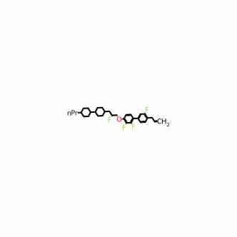 C=CCc1ccc(-c2ccc(OCC(F)CC3CCC(C4CCC(CCC)CC4)CC3)c(F)c2F)cc1F